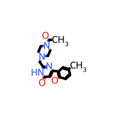 CC(=O)N1CCN(Cc2nc3c(oc4ccc(C)cc43)c(=O)[nH]2)CC1